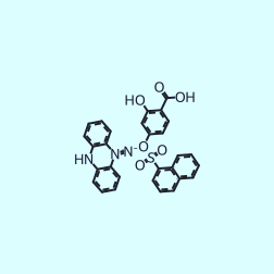 O=C(O)c1ccc(OS(=O)(=O)c2cccc3ccccc23)cc1O.[N-]=[N+]1c2ccccc2Nc2ccccc21